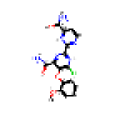 CCOc1ccccc1Oc1c(Cl)nc(-c2nccc(C(N)=O)n2)nc1C(N)=O